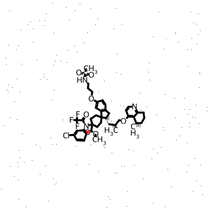 COC(=O)C1(N(C(=O)C(F)(F)F)c2cccc(Cl)c2)CCC2(CC1)c1cc(OCCCNS(C)(=O)=O)ccc1C[C@@H]2C[C@@H](C)COc1ccnc2c1[C@H](C)CCC2